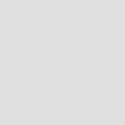 CC(C(=O)O)c1ccc(O)c(I)c1